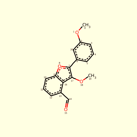 COc1cccc(-c2oc3cccc(C=O)c3c2OC)c1